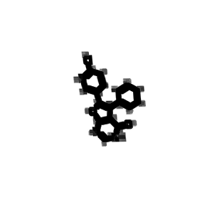 O=c1[nH]cnc2oc(-c3ccc(Cl)nc3)c(-c3ccccc3)c12